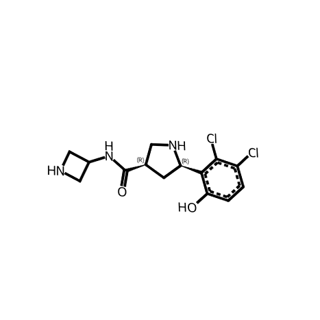 O=C(NC1CNC1)[C@H]1CN[C@@H](c2c(O)ccc(Cl)c2Cl)C1